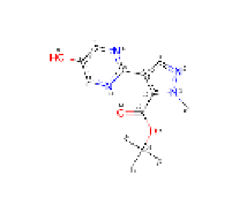 Cn1ncc(-c2ncc(O)cn2)c1C(=O)OC(C)(C)C